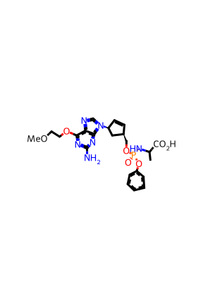 COCCOc1nc(N)nc2c1ncn2[C@H]1C=C[C@@H](CO[P@@](=O)(NC(C)C(=O)O)Oc2ccccc2)C1